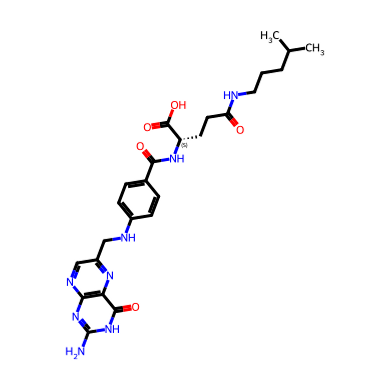 CC(C)CCCNC(=O)CC[C@H](NC(=O)c1ccc(NCc2cnc3nc(N)[nH]c(=O)c3n2)cc1)C(=O)O